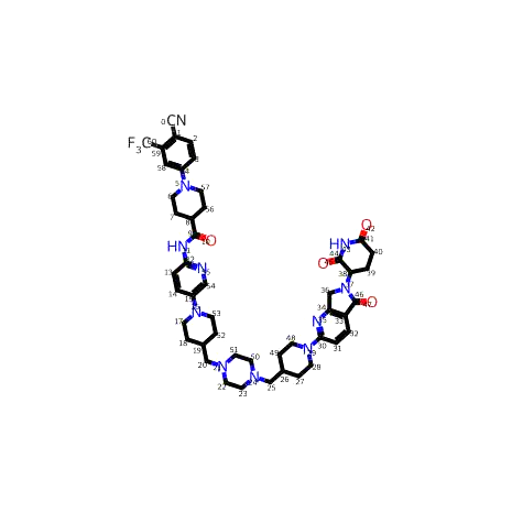 N#Cc1ccc(N2CCC(C(=O)Nc3ccc(N4CCC(CN5CCN(CC6CCN(c7ccc8c(n7)CN(C7CCC(=O)NC7=O)C8=O)CC6)CC5)CC4)cn3)CC2)cc1C(F)(F)F